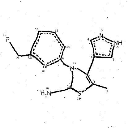 CC1=C(c2cn[nH]c2)N(c2cccc(CF)n2)C(N)S1